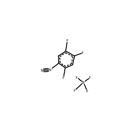 F[B-](F)(F)F.N#[N+]c1cc(F)c(F)cc1F